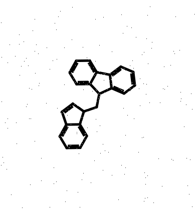 C1=CC(CC2c3ccccc3-c3ccccc32)c2ccccc21